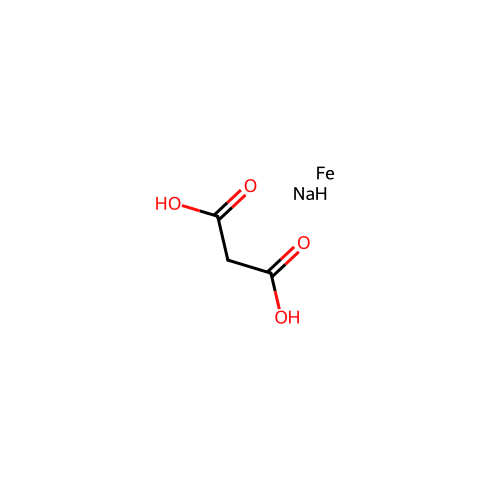 O=C(O)CC(=O)O.[Fe].[NaH]